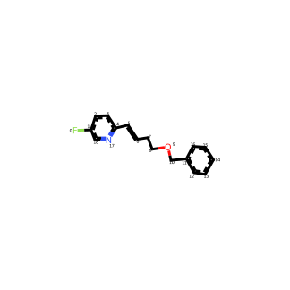 Fc1ccc(C=CCCOCc2ccccc2)nc1